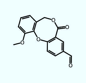 COc1cccc2c1Oc1ccc(C=O)cc1C(=O)OC2